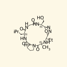 CCC1N[C@@H](C)C(=O)N2CCC[C@H]2C(=O)N[C@@H](CC(C)C)C(=O)NCC(=O)N[C@@H](CO)c2nnc1o2